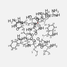 CC[C@H](C)[C@H](NC(=O)[C@H](Cc1c[nH]c2ccccc12)NC(=O)[C@@H](N)C(C)C)C(=O)N[C@@H](Cc1c[nH]c2ccccc12)C(=O)N[C@@H](CCC(N)=O)C(=O)N[C@@H](CCCNC(=N)N)C(=O)N[C@@H](CCCNC(=N)N)C(=O)N[C@@H](CCCNC(=N)N)C(=O)O